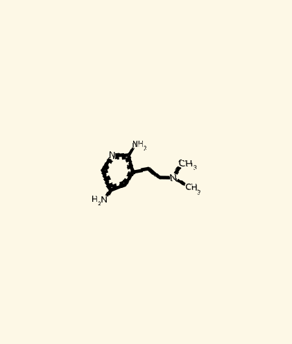 CN(C)CCc1cc(N)cnc1N